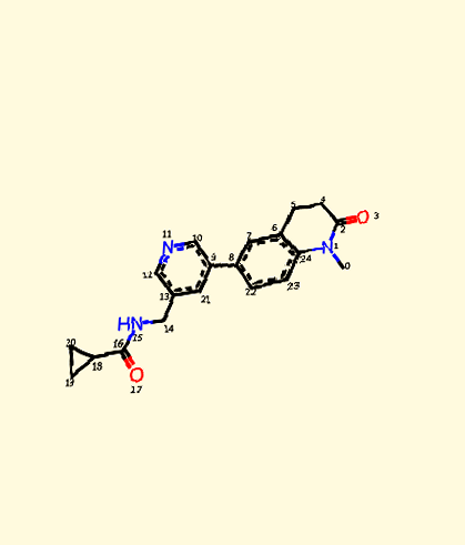 CN1C(=O)CCc2cc(-c3cncc(CNC(=O)C4CC4)c3)ccc21